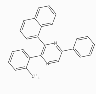 Cc1ccccc1-c1ncc(-c2ccccc2)nc1-c1cccc2ccccc12